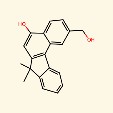 CC1(C)c2ccccc2-c2c1cc(O)c1ccc(CO)cc21